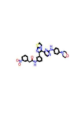 O=C(Cc1cccc([N+](=O)[O-])c1)Nc1cccc(-c2nc3sccn3c2-c2ccnc(Nc3ccc(N4CCOCC4)cc3)n2)c1